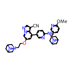 COc1ccc(CN2C3CC(Nc4ccc(-c5cc(OCCN6CC7CC(C6)N7C)cn6ncc(C#N)c56)cn4)CC2C3)cn1